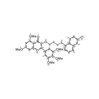 COc1cc(OC)c2c(=O)c(OCCCSc3ncnc4cc(Cl)ccc34)c(-c3cc(OC)c(OC)c(OC)c3)oc2c1